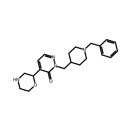 O=c1c(C2CNCCO2)ccnn1CC1CCN(Cc2ccccc2)CC1